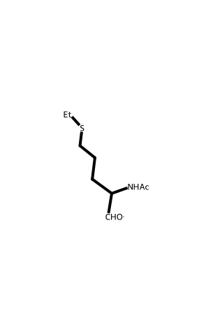 CCSCCCC([C]=O)NC(C)=O